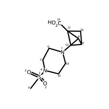 CS(=O)(=O)N1CCN(C2C3CC2(C(=O)O)C3)CC1